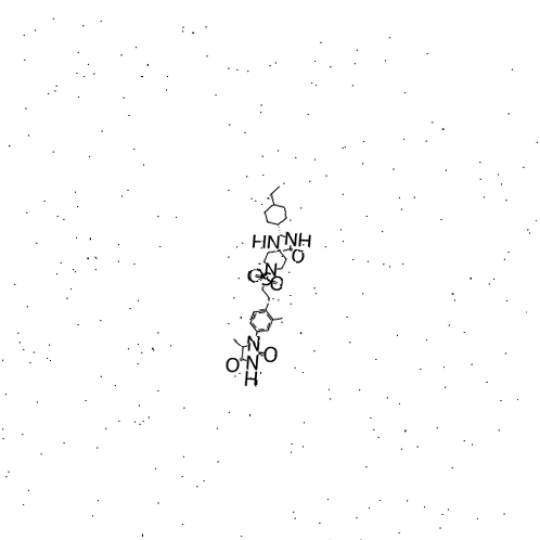 CCC1CCC([C@@H]2NC(=O)C3(CCN(S(=O)(=O)CCc4ccc(N5C(=O)NC(=O)C5C)cc4C)CC3)N2)CC1